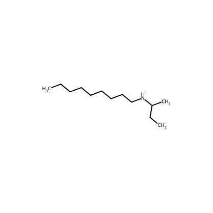 CCCCCCCCCNC(C)CC